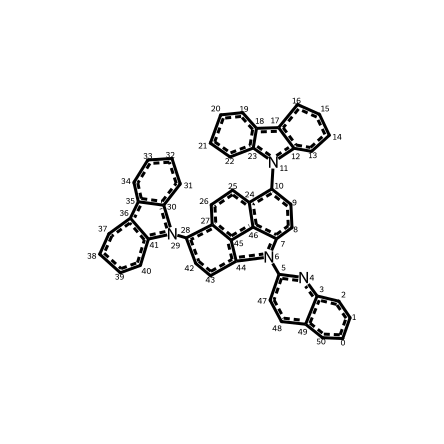 c1ccc2nc(-n3c4ccc(-n5c6ccccc6c6ccccc65)c5ccc6c(-n7c8ccccc8c8ccccc87)ccc3c6c54)ccc2c1